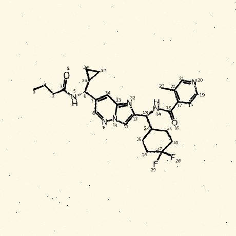 CCCC(=O)N[C@@H](c1cnn2cc([C@@H](NC(=O)c3ccncc3C)C3CCC(F)(F)CC3)nc2c1)C1CC1